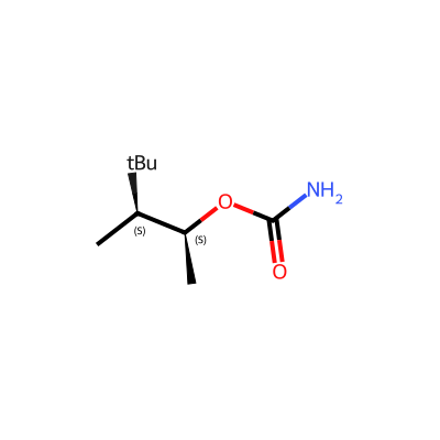 C[C@H](OC(N)=O)[C@@H](C)C(C)(C)C